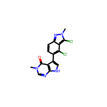 Cn1nc2ccc(-c3c[nH]c4ncn(C)c(=O)c34)c(Cl)c2c1Cl